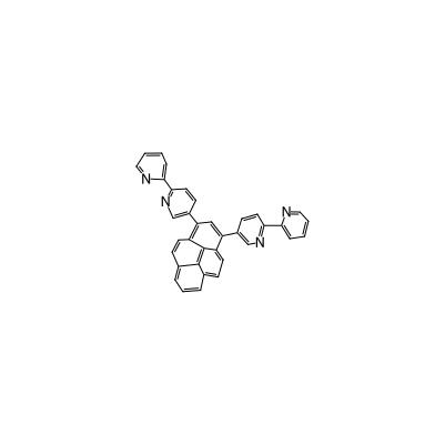 c1ccc(-c2ccc(-c3cc(-c4ccc(-c5ccccn5)nc4)c4ccc5cccc6ccc3c4c65)cn2)nc1